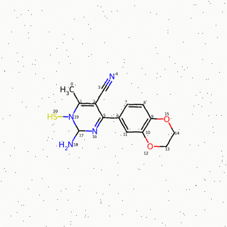 CC1=C(C#N)C(c2ccc3c(c2)OCCO3)=NC(N)N1S